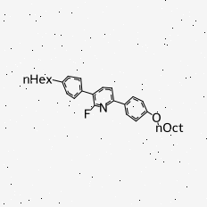 CCCCCCCCOc1ccc(-c2ccc(-c3ccc(CCCCCC)cc3)c(F)n2)cc1